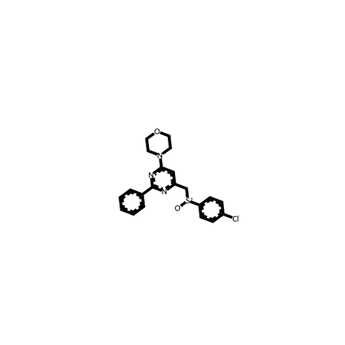 [O-][S+](Cc1cc(N2CCOCC2)nc(-c2ccccc2)n1)c1ccc(Cl)cc1